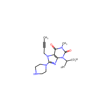 CC#CCn1c(N2CCNCC2)nc2c1c(=O)n(C)c(=O)n2C(CCC)C(=O)O